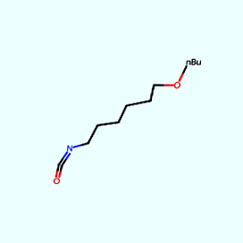 CCCCOCCCCCCN=C=O